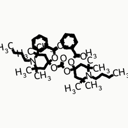 CCCCN1C(C)(C)CC(OC(=O)OC2(OC(=O)c3ccccc3)CC(C)(C)N(CCCC)C(C)(C)C2)(OC(=O)c2ccccc2)CC1(C)C